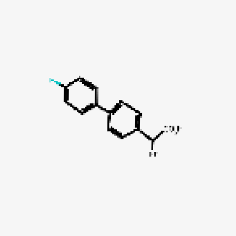 CCC(C(=O)O)c1ccc(-c2ccc(F)cc2)cc1